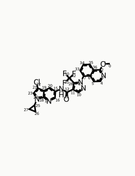 COc1nccc2c(-n3ncc(C(=O)Nc4cnc5c(c4)c(Cl)cn5C4CC4)c3C(F)(F)F)cccc12